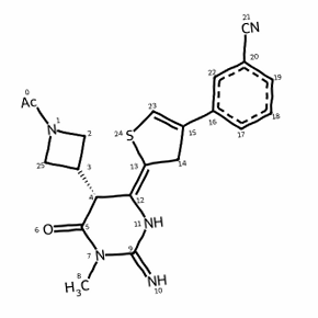 CC(=O)N1CC([C@H]2C(=O)N(C)C(=N)N/C2=C2\CC(c3cccc(C#N)c3)=CS2)C1